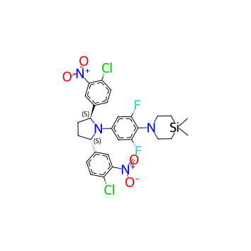 C[Si]1(C)CCN(c2c(F)cc(N3[C@H](c4ccc(Cl)c([N+](=O)[O-])c4)CC[C@H]3c3ccc(Cl)c([N+](=O)[O-])c3)cc2F)CC1